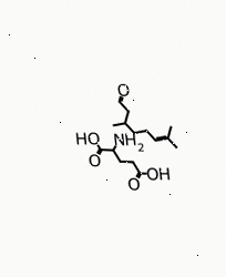 CC(C)=CCCC(C)CC=O.NC(CCC(=O)O)C(=O)O